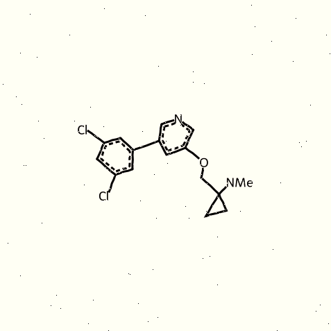 CNC1(COc2cncc(-c3cc(Cl)cc(Cl)c3)c2)CC1